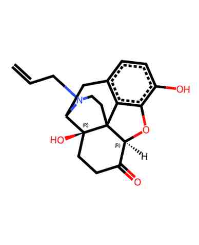 C=CCN1CCC23c4c5ccc(O)c4O[C@H]2C(=O)CC[C@]3(O)C1C5